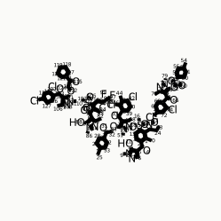 Cc1c(C(=O)c2cnn(C)c2O)ccc(S(C)(=O)=O)c1C1=NOCC1.Cc1ccc(C(=O)COc2c(C(=O)c3ccc(Cl)c(C)c3Cl)c(C)nn2C)cc1.Cc1ccc(S(=O)(=O)Oc2c(C(=O)c3ccc(Cl)cc3Cl)c(C)nn2C)cc1.Cc1nn(C)c(O)c1C(=O)c1ccc(C(F)(F)F)cc1S(C)(=O)=O.Cc1nn(C)c(OCC(=O)c2ccccc2)c1C(=O)c1ccc(Cl)cc1Cl